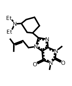 CCN(CC)C1CCCC(c2nc3c(c(=O)n(C)c(=O)n3C)n2CC=C(C)C)C1